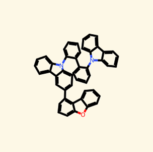 c1ccc(-n2c3ccccc3c3ccccc32)c(-c2ccccc2-n2c3ccccc3c3cc(-c4cccc5oc6ccccc6c45)ccc32)c1